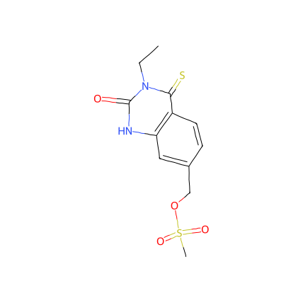 CCn1c(=O)[nH]c2cc(COS(C)(=O)=O)ccc2c1=S